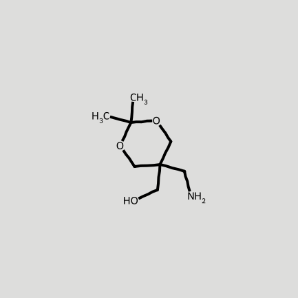 CC1(C)OCC(CN)(CO)CO1